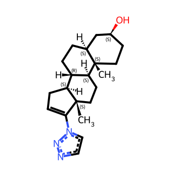 C[C@]12CC[C@H](O)C[C@@H]1CC[C@@H]1[C@@H]2CC[C@]2(C)C(n3ccnn3)=CC[C@@H]12